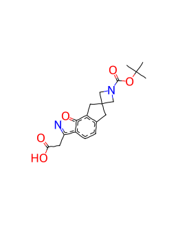 CC(C)(C)OC(=O)N1CC2(Cc3ccc4c(CC(=O)O)noc4c3C2)C1